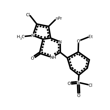 CCCc1c(Cl)n(C)c2c(=O)[nH]c(-c3cc(S(=O)(=O)Cl)ccc3OCC)nc12